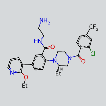 CCOc1ncccc1-c1ccc(N2CCN(C(=O)c3ccc(C(F)(F)F)cc3Cl)C[C@H]2CC)c(C(=O)NCCN)c1